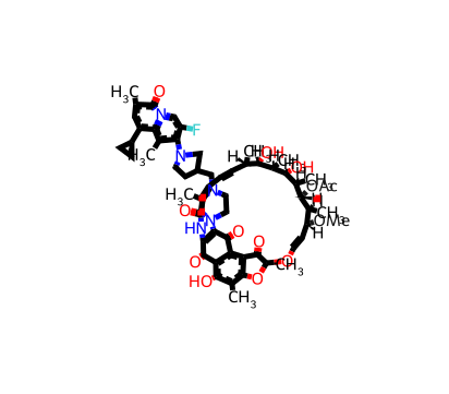 CO[C@H]1/C=C/O[C@@]2(C)Oc3c(C)c(O)c4c(c3C2=O)C(=O)C(N2CCN(CC3CCN(c5c(F)cn6c(=O)c(C)cc(C7CC7)c6c5C)C3)CC2)=C(NC(=O)/C(C)=C\C=C\[C@H](C)[C@H](O)[C@@H](C)[C@@H](O)[C@@H](C)[C@H](OC(C)=O)[C@@H]1C)C4=O